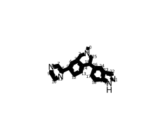 CN1Cc2cc(-c3cnccn3)ccc2C(c2ccc3[nH]ncc3c2)C1